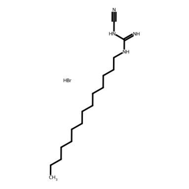 Br.CCCCCCCCCCCCCCNC(=N)NC#N